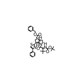 CC(C)(C)OC(=O)N[C@H](C(=O)N1CC[C@@H]2[C@H]1[C@@H](c1nc(-c3ccccc3)cs1)CN2C(=O)OCc1ccccc1)C(C)(C)C